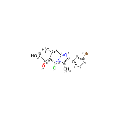 Cc1cc2nc(-c3cccc(Br)c3)c(C)n2c(Cl)c1C(=O)C(=O)O